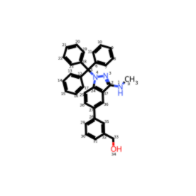 CNc1nn(C(c2ccccc2)(c2ccccc2)c2ccccc2)c2ccc(-c3cccc(CO)c3)cc12